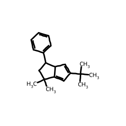 CC(C)(C)C1=CC2C(=C1)C(C)(C)CC2c1ccccc1